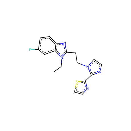 CCn1c(CCn2ccnc2-c2nccs2)nc2ccc(F)cc21